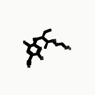 CC[C@H](NC1N=C(Cl)C(C#N)=CC1F)[C@H](C)BOCN